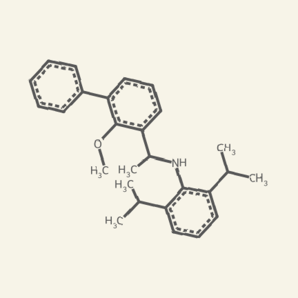 COc1c(-c2ccccc2)cccc1C(C)Nc1c(C(C)C)cccc1C(C)C